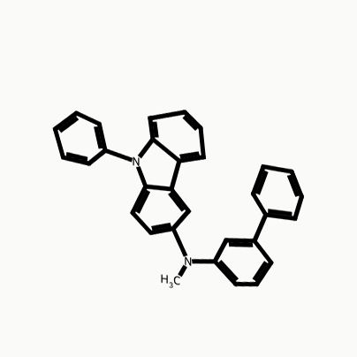 CN(c1cccc(-c2ccccc2)c1)c1ccc2c(c1)c1ccccc1n2-c1ccccc1